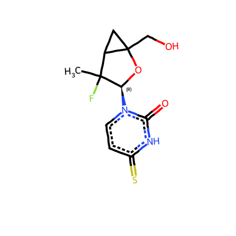 CC1(F)C2CC2(CO)O[C@H]1n1ccc(=S)[nH]c1=O